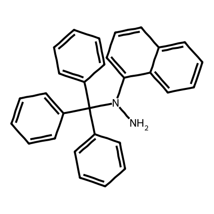 NN(c1cccc2ccccc12)C(c1ccccc1)(c1ccccc1)c1ccccc1